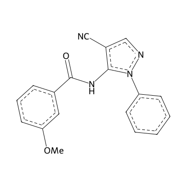 COc1cccc(C(=O)Nc2c(C#N)cnn2-c2ccccc2)c1